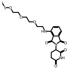 O=C1CCC(N2C(=O)c3cccc(NCCOCCOCCOSI)c3C2=O)C(=O)N1